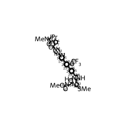 CNC(C(=O)N1CCCC1C(=O)N1CCN(c2ccc(-c3ccc(-c4ccc(-c5c[nH]c(C6CC(SC)CN6C(=O)CNC(=O)OC)n5)cc4)c(OC(F)(F)F)c3)cn2)CC1)C(C)C